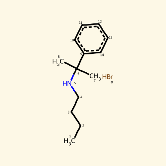 Br.CCCCNC(C)(C)c1ccccc1